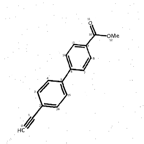 C#Cc1ccc(-c2ccc(C(=O)OC)cc2)cc1